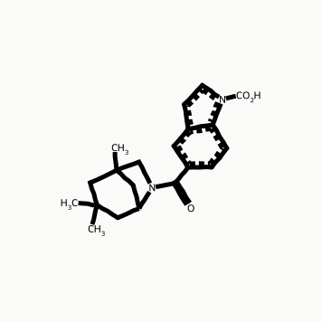 CC1(C)CC2CC(C)(CN2C(=O)c2ccc3c(ccn3C(=O)O)c2)C1